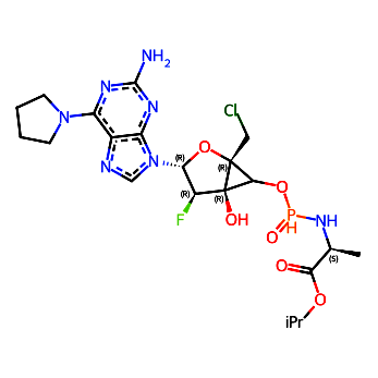 CC(C)OC(=O)[C@H](C)N[PH](=O)OC1[C@@]2(CCl)O[C@@H](n3cnc4c(N5CCCC5)nc(N)nc43)[C@H](F)[C@@]12O